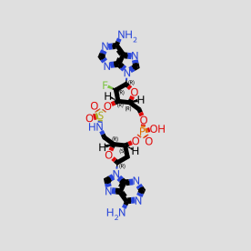 Nc1ncnc2c1ncn2[C@@H]1O[C@@H]2COP(=O)(O)O[C@H]3C[C@H](n4cnc5c(N)ncnc54)O[C@@H]3CNS(=O)(=O)O[C@H]2[C@H]1F